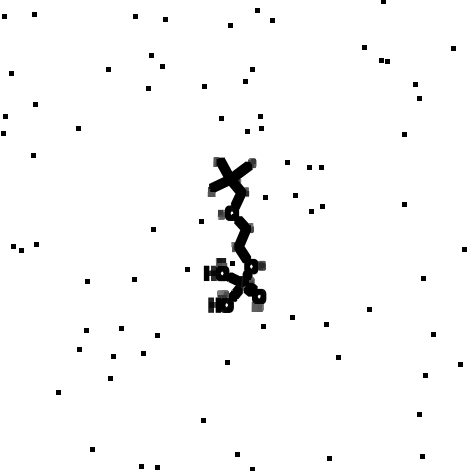 CC(C)(C)COCCOP(=O)(O)O